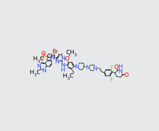 CCOc1cc(N2CCC(N3CCN(CCc4cc(F)c(C5CCC(=O)NC5=O)c(F)c4)CC3)CC2)c(CC)cc1Nc1ncc(Br)c(Nc2ccc3nc(C)ncc3c2P(C)(C)=O)n1